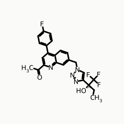 CC[C@](O)(c1cn(Cc2ccc3c(-c4ccc(F)cc4)cc(C(C)=O)nc3c2)nn1)C(F)(F)F